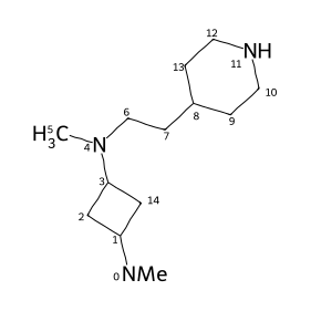 CNC1CC(N(C)CCC2CCNCC2)C1